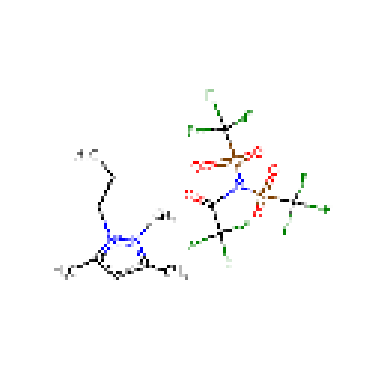 CCC[n+]1c(C)cc(C)n1C.O=C(N(S(=O)(=O)C(F)(F)F)S(=O)(=O)C(F)(F)F)C(F)(F)F